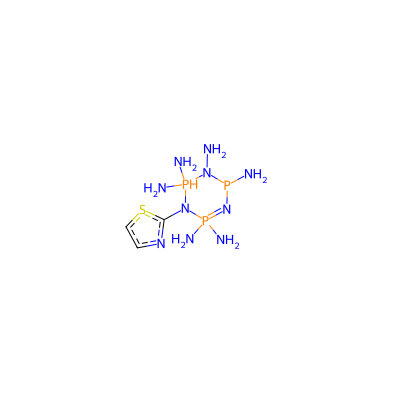 NN1P(N)N=P(N)(N)N(c2nccs2)[PH]1(N)N